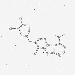 CN(C)c1ccnc2sc3c(=O)n(Cc4ccc(Cl)c(Cl)c4)cnc3c12